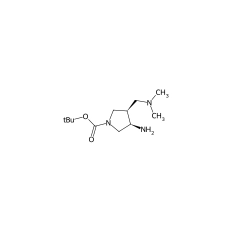 CN(C)C[C@@H]1CN(C(=O)OC(C)(C)C)C[C@@H]1N